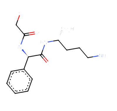 NCCC[C@H](NC(=O)[C@H](NC(=O)C[O])c1ccccc1)C(=O)O